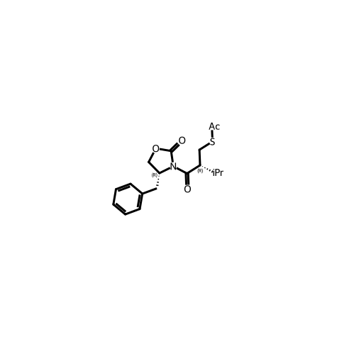 CC(=O)SC[C@@H](C(=O)N1C(=O)OC[C@H]1Cc1ccccc1)C(C)C